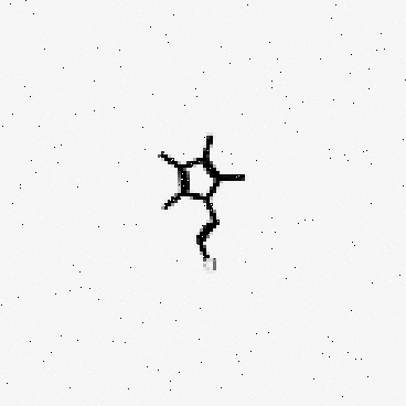 CC1=C(C)C(C=CCl)C(C)=C1C